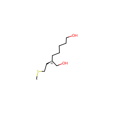 [CH2]SCC[C@H](CO)CCCCCO